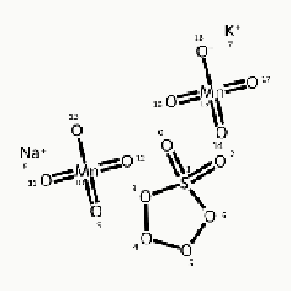 O=S1(=O)OOOO1.[K+].[Na+].[O]=[Mn](=[O])(=[O])[O-].[O]=[Mn](=[O])(=[O])[O-]